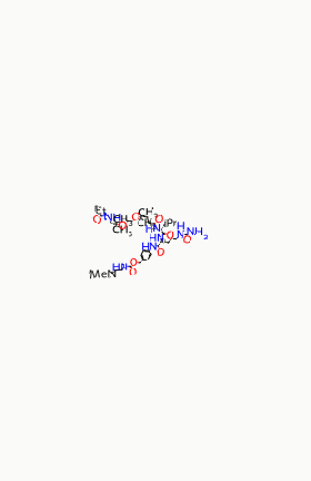 CCC(=O)NCC(C)(C)OCCOC(C)(C)CCC(=O)NC(C(=O)N[C@@H](CCCNC(N)=O)C(=O)Nc1ccc(COC(=O)NCCNC)cc1)C(C)C